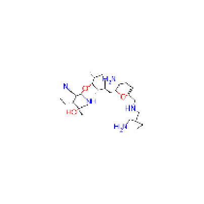 CC[C@@H]1[C@@H](C#N)[C@@H](O[C@@H]2[C@@H](C)[C@H](C[C@H]3OC(CNCC4(CN)CC4)=CC[C@H]3N)CC[C@H]2C)NC[C@]1(C)O